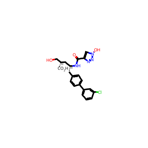 O=C(N[C@H](Cc1ccc(-c2cccc(Cl)c2)cc1)C[C@@H](CO)C(=O)O)c1cn(O)nn1